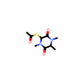 CC(=O)SC1C(=O)N(C)C(C)C(=O)N1C